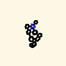 c1ccc(-c2nc(-c3ccccc3)nc(-c3ccccc3-c3ccc(-c4ccc5c(c4)-c4c(ccc6ccccc46)C54C5CC6CC(C5)CC4C6)cc3)n2)cc1